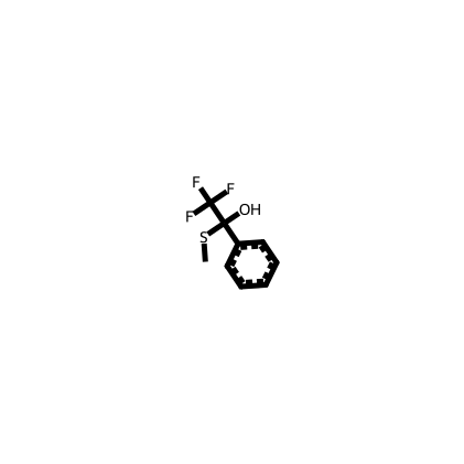 CSC(O)(c1ccccc1)C(F)(F)F